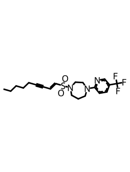 CCCCCC#CC=CS(=O)(=O)N1CCCN(c2ccc(C(F)(F)F)cn2)CC1